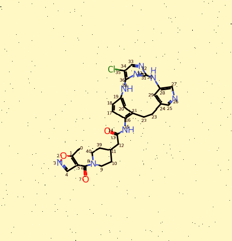 Cc1oncc1C(=O)N1CCC(CC(=O)Nc2ccc3cc2CCc2cncc(c2)Nc2ncc(Cl)c(n2)N3)CC1